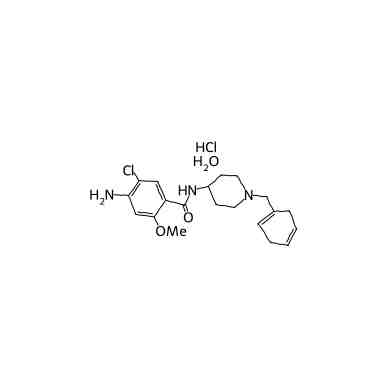 COc1cc(N)c(Cl)cc1C(=O)NC1CCN(CC2=CCC=CC2)CC1.Cl.O